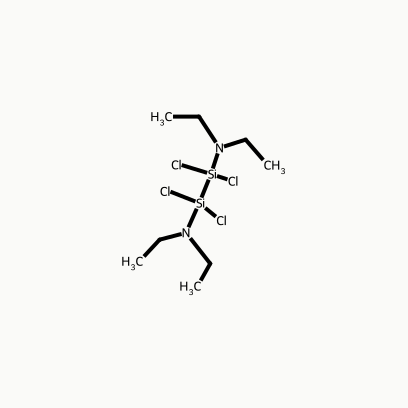 CCN(CC)[Si](Cl)(Cl)[Si](Cl)(Cl)N(CC)CC